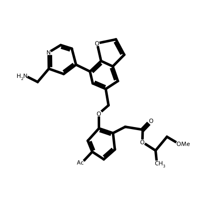 COCC(C)OC(=O)Cc1ccc(C(C)=O)cc1OCc1cc(-c2ccnc(CN)c2)c2occc2c1